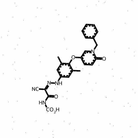 Cc1cc(NN=C(C#N)C(=O)NC(=O)O)cc(C)c1Oc1ccc(=O)n(Cc2ccccc2)c1